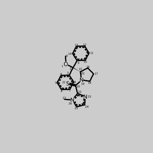 COC(c1ccccc1)(c1ccccc1)[C@@H]1CCCN1C(=S)c1nccn1C